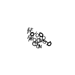 C[C@@H](OC[C@H]1C[C@](C#N)(N2C(=O)CCCC2=O)CN(C(=O)OCc2ccccc2)[C@@H]1c1ccccc1)c1cc(C(F)(F)F)cc(C(F)(F)F)c1